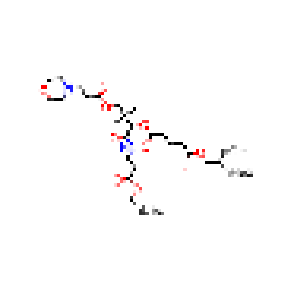 CCCCCCCCCCCOC(=O)CCNC(=O)[C@H](OC(=O)CCCC(=O)OCC(CCCCCC)CCCCCCCC)C(C)(C)COC(=O)CCN1CCOCC1